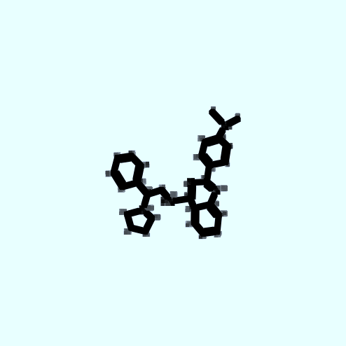 CN(C)c1ccc(-c2nc(NCC(c3ccccc3)N3CCCC3)c3ccccc3n2)cc1